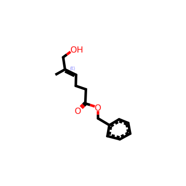 C/C(=C\CCC(=O)OCc1ccccc1)CO